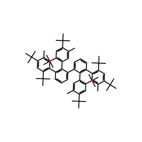 Cc1cc(-c2[c]ccc(-c3cc[c]c(-c4cc(C)c(C(C)(C)C)cc4C(C)(C)C)c3-c3cc(C)c(C(C)(C)C)cc3C(C)(C)C)c2-c2cc(C)c(C(C)(C)C)cc2C(C)(C)C)c(C(C)(C)C)cc1C(C)(C)C